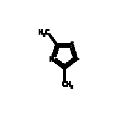 Cc1[c]sc(C)n1